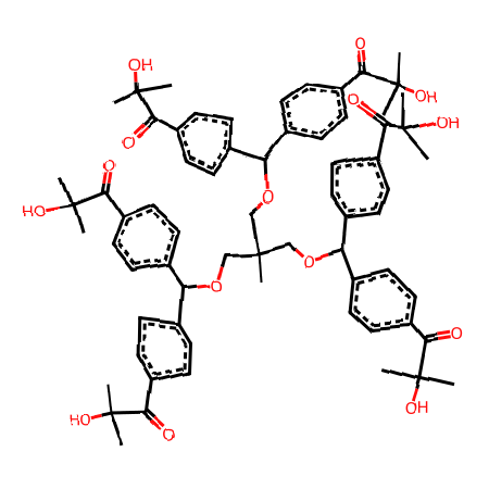 CC(COC(c1ccc(C(=O)C(C)(C)O)cc1)c1ccc(C(=O)C(C)(C)O)cc1)(COC(c1ccc(C(=O)C(C)(C)O)cc1)c1ccc(C(=O)C(C)(C)O)cc1)COC(c1ccc(C(=O)C(C)(C)O)cc1)c1ccc(C(=O)C(C)(C)O)cc1